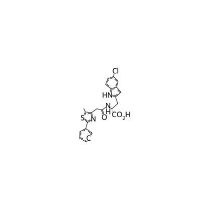 Cc1sc(-c2ccccc2)nc1CC(=O)N[C@H](Cc1cc2cc(Cl)ccc2[nH]1)C(=O)O